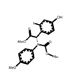 COC(=O)[C@H](c1ccc(O)cc1F)N(C(=O)OC(C)(C)C)c1ccc(OC)cc1